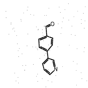 O=[C]c1ccc(-c2cccnc2)cc1